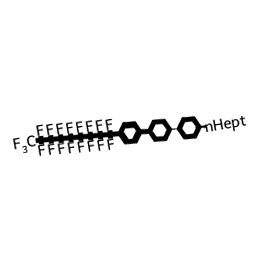 CCCCCCC[C@H]1CC[C@H](C2CCC(c3ccc(C(F)(F)C(F)(F)C(F)(F)C(F)(F)C(F)(F)C(F)(F)C(F)(F)C(F)(F)C(F)(F)F)cc3)CC2)CC1